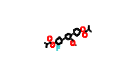 C=C(C)C(=O)Oc1ccc(-c2ccc(-c3ccc(OC(=O)C(=C)C)c(F)c3)cc2COC)cc1